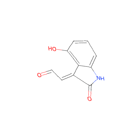 O=C/C=C1/C(=O)Nc2cccc(O)c21